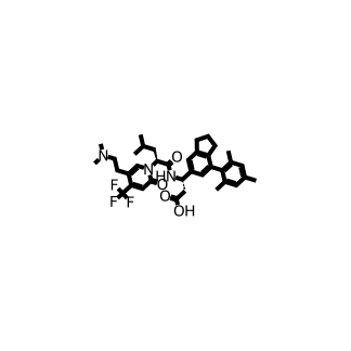 Cc1cc(C)c(-c2cc([C@H](CC(=O)O)NC(=O)[C@H](CC(C)C)n3cc(CCN(C)C)c(C(F)(F)F)cc3=O)cc3c2CCC3)c(C)c1